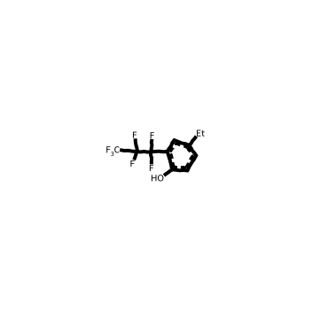 CCc1ccc(O)c(C(F)(F)C(F)(F)C(F)(F)F)c1